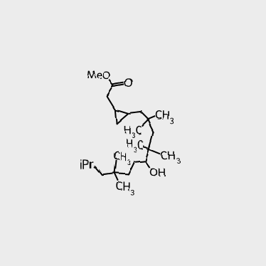 COC(=O)CC1CC1CC(C)(C)CC(C)(C)C(O)CCC(C)(C)CC(C)C